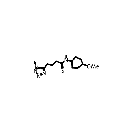 COC1CCC(N(C)C(=S)CCCc2nnnn2C)CC1